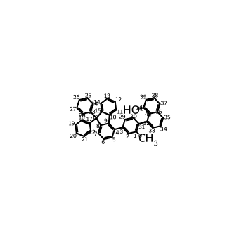 Cc1cc(-c2cccc3c2-c2ccccc2C3(c2ccccc2)c2ccccc2)ccc1-c1cccc2cccc(O)c12